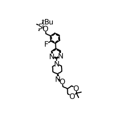 CC1(C)OCC(CON=C2CCN(c3ncc(-c4cccc(CO[Si](C)(C)C(C)(C)C)c4F)cn3)CC2)CO1